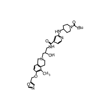 Cc1c(OCc2cnco2)ccc2c1CCN(CC(O)CNC(=O)c1ccnc(NC3CCN(C(=O)C(C)(C)C)CC3)c1)C2